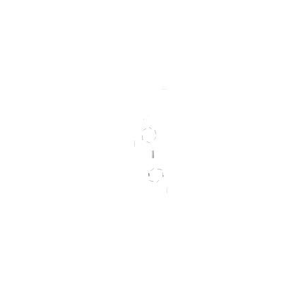 CCCCOc1ccc(C#Cc2ccc(C)cc2)c(F)c1F